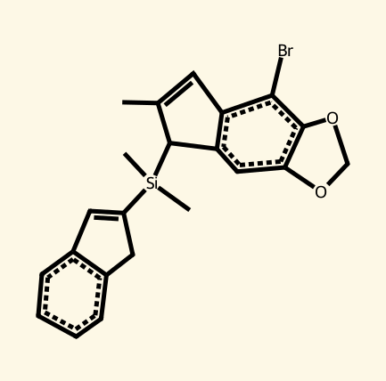 CC1=Cc2c(cc3c(c2Br)OCO3)C1[Si](C)(C)C1=Cc2ccccc2C1